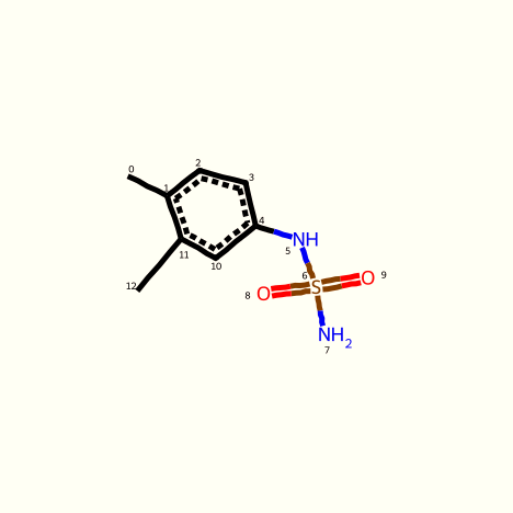 Cc1ccc(NS(N)(=O)=O)cc1C